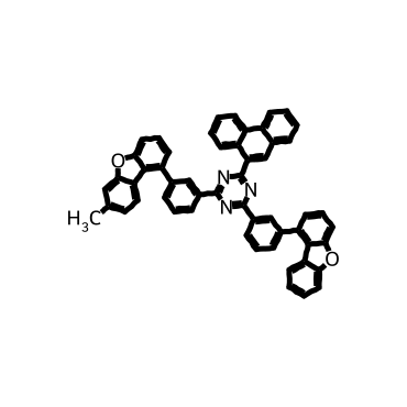 Cc1ccc2c(c1)oc1cccc(-c3cccc(-c4nc(-c5cccc(-c6cccc7oc8ccccc8c67)c5)nc(-c5cc6ccccc6c6ccccc56)n4)c3)c12